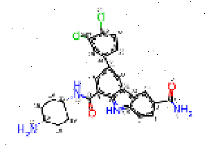 NC(=O)c1ccc2[nH]c3c(C(=O)N[C@H]4CC[C@@H](N)CC4)cc(-c4ccc(Cl)c(Cl)c4)cc3c2c1